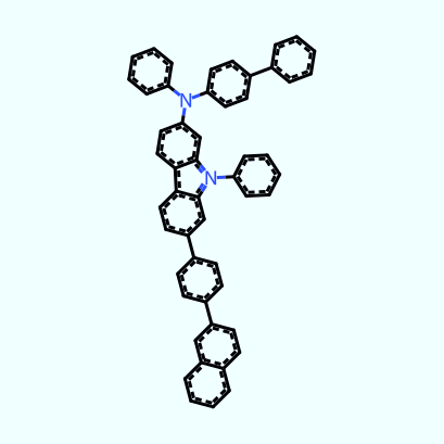 c1ccc(-c2ccc(N(c3ccccc3)c3ccc4c5ccc(-c6ccc(-c7ccc8ccccc8c7)cc6)cc5n(-c5ccccc5)c4c3)cc2)cc1